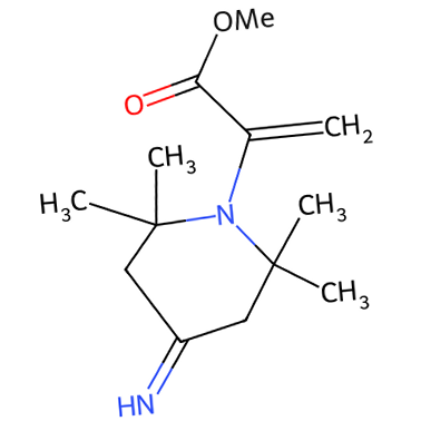 C=C(C(=O)OC)N1C(C)(C)CC(=N)CC1(C)C